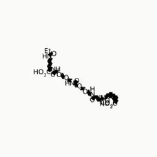 CCC(=O)NCCCCC(NC(=O)COCCOCCNC(=O)COCCOCCNC(=O)CCC(NC(=O)CC(C)(C)CC(C)(C)CC(=O)O)C(=O)O)C(=O)O